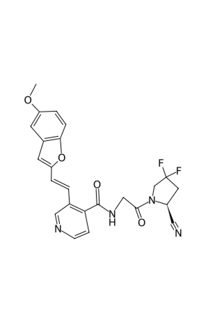 COc1ccc2oc(/C=C/c3cnccc3C(=O)NCC(=O)N3CC(F)(F)C[C@H]3C#N)cc2c1